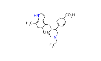 Cc1cc(C)c2[nH]ccc2c1CC1CCN(CC(F)(F)F)CC1c1ccc(C(=O)O)cc1